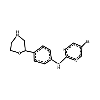 CCc1cnc(Nc2ccc(C3CNCCO3)cc2)nc1